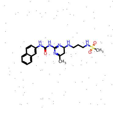 CC1=NC(NC(=O)Nc2ccc3ccccc3c2)=NC(NCCCNS(C)(=O)=O)C1